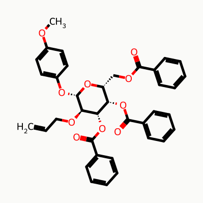 C=CCO[C@H]1[C@H](Oc2ccc(OC)cc2)O[C@H](COC(=O)c2ccccc2)[C@H](OC(=O)c2ccccc2)[C@@H]1OC(=O)c1ccccc1